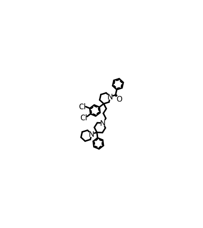 O=C(c1ccccc1)N1CCCC(CCCN2CCC(c3ccccc3)(N3CCCCC3)CC2)(c2ccc(Cl)c(Cl)c2)C1